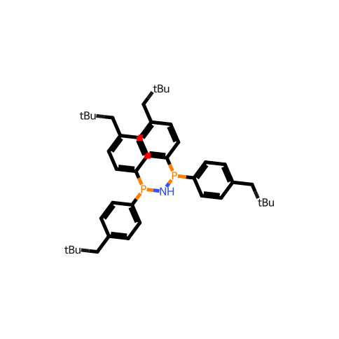 CC(C)(C)Cc1ccc(P(NP(c2ccc(CC(C)(C)C)cc2)c2ccc(CC(C)(C)C)cc2)c2ccc(CC(C)(C)C)cc2)cc1